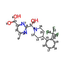 Cc1cc(C(=O)O)nc(C(O)N2CCC(c3ccccc3C(F)(F)F)CC2)n1